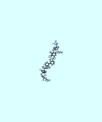 COc1cc(OC2CCc3c(-c4cccc(NC(=O)c5nc6c(n5C)CCN(C(C)CO)C6)c4C)cccc32)c(Cl)c(F)c1CNOC(=O)C1CCC1